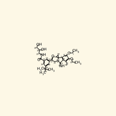 CCOc1cc2c(c(F)c1OCC)C(=N)N(CC(=O)c1cc(C(=O)NCC(O)CO)cc(C(C)(C)C)c1)C21CC1